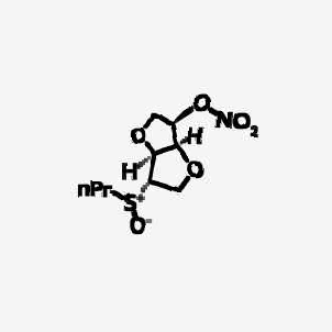 CCC[S+]([O-])[C@H]1CO[C@H]2[C@@H]1OC[C@H]2O[N+](=O)[O-]